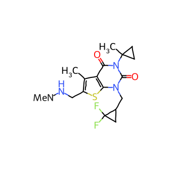 CNNCc1sc2c(c1C)c(=O)n(C1(C)CC1)c(=O)n2CC1CC1(F)F